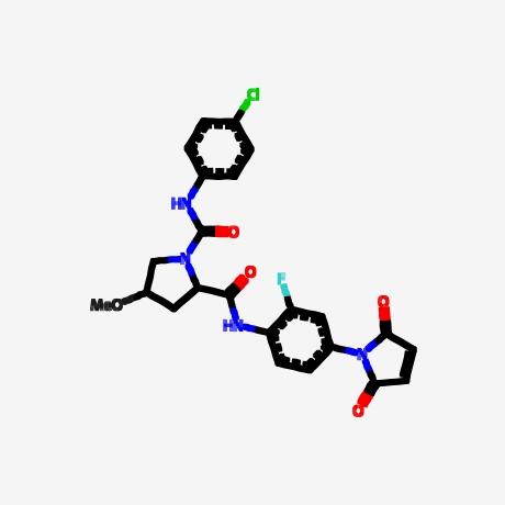 COC1CC(C(=O)Nc2ccc(N3C(=O)C=CC3=O)cc2F)N(C(=O)Nc2ccc(Cl)cc2)C1